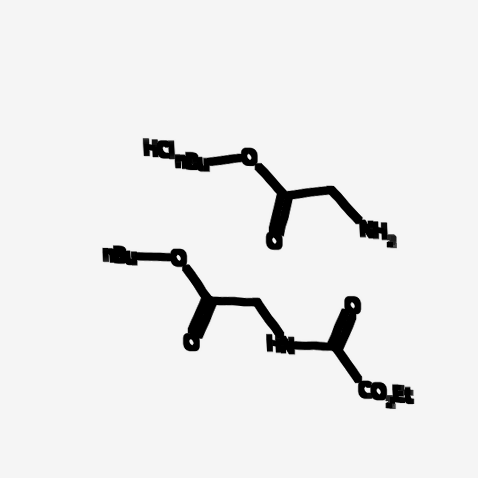 CCCCOC(=O)CN.CCCCOC(=O)CNC(=O)C(=O)OCC.Cl